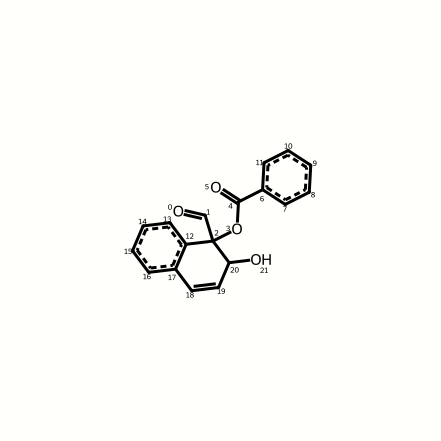 O=CC1(OC(=O)c2ccccc2)c2ccccc2C=CC1O